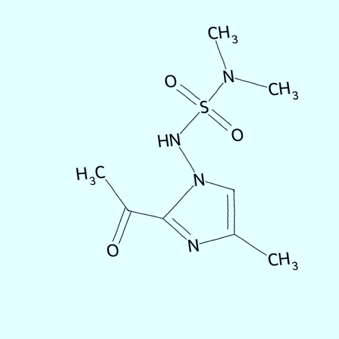 CC(=O)c1nc(C)cn1NS(=O)(=O)N(C)C